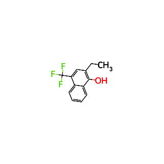 CCc1cc(C(F)(F)F)c2ccccc2c1O